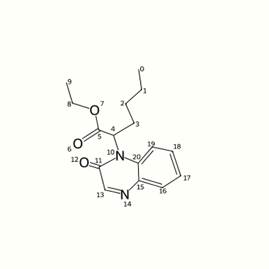 CCCCC(C(=O)OCC)n1c(=O)cnc2ccccc21